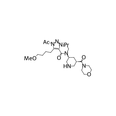 COCCCCc1c(C(=O)N(CC(C)C)[C@@H]2CNC[C@H](C(=O)N3CCOCC3)C2)nnn1C(C)=O